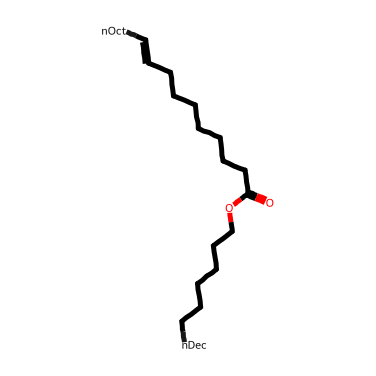 CCCCCCCCC=CCCCCCCCC(=O)OCCCCCCCCCCCCCCCC